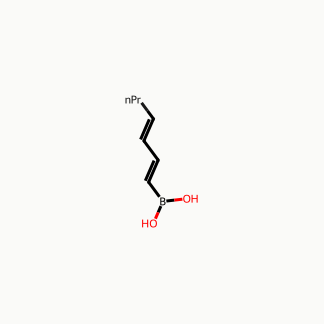 CCCC=CC=CB(O)O